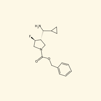 NC(C1CC1)[C@@H]1CN(C(=O)OCc2ccccc2)C[C@H]1F